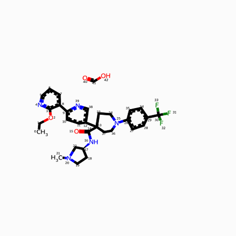 CCOc1ncccc1-c1ccc(C2(C(=O)N[C@H]3CCN(C)C3)CCN(c3ccc(C(F)(F)F)cc3)CC2)cn1.O=CO